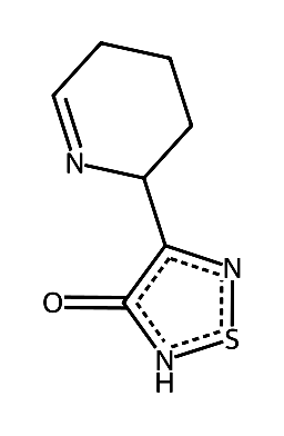 O=c1[nH]snc1C1CCCC=N1